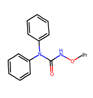 CC(C)ONC(=O)N(c1ccccc1)c1ccccc1